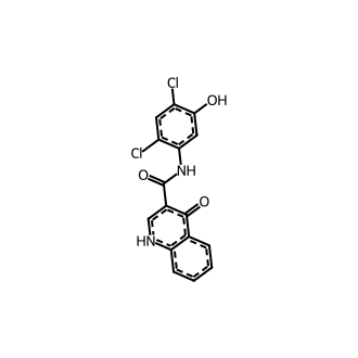 O=C(Nc1cc(O)c(Cl)cc1Cl)c1c[nH]c2ccccc2c1=O